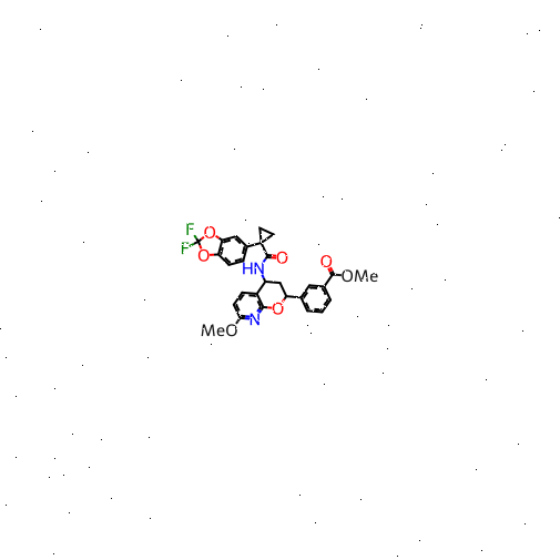 COC(=O)c1cccc(C2CC(NC(=O)C3(c4ccc5c(c4)OC(F)(F)O5)CC3)c3ccc(OC)nc3O2)c1